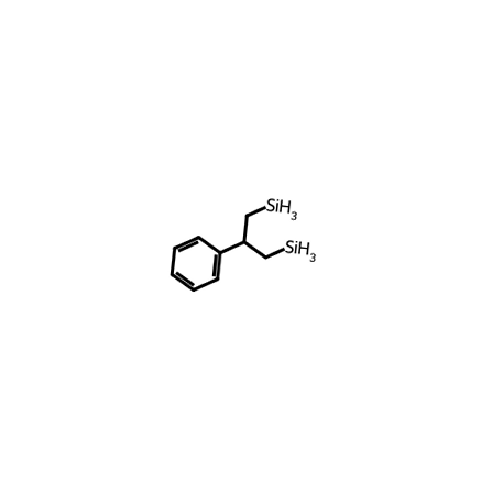 [SiH3]CC(C[SiH3])c1ccccc1